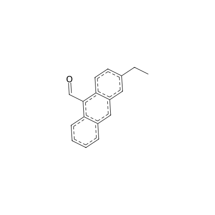 CCc1ccc2c(C=O)c3ccccc3cc2c1